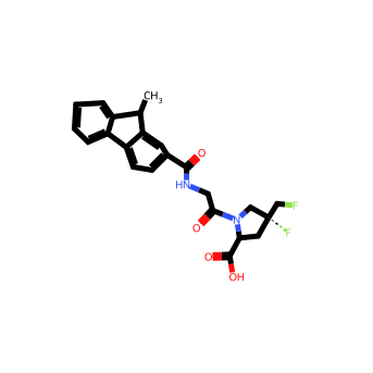 CC1c2ccccc2-c2ccc(C(=O)NCC(=O)N3C[C@@](F)(CF)CC3C(=O)O)cc21